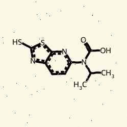 CC(C)N(C(=O)O)c1ccc2nc(S)sc2n1